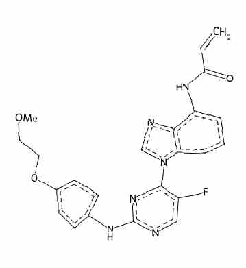 C=CC(=O)Nc1cccc2c1ncn2-c1nc(Nc2ccc(OCCOC)cc2)ncc1F